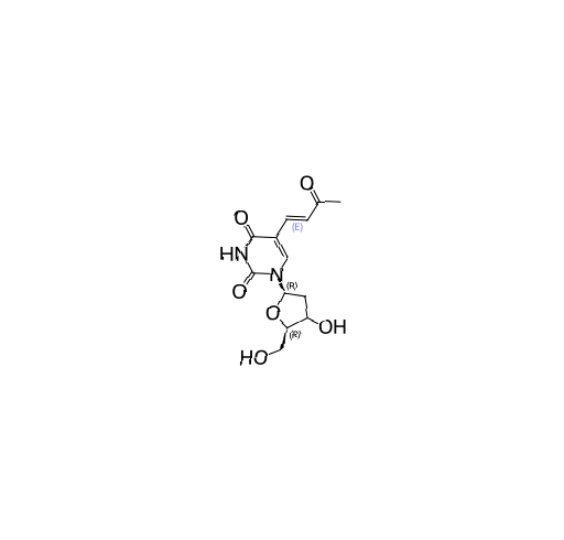 CC(=O)/C=C/c1cn([C@H]2CC(O)[C@@H](CO)O2)c(=O)[nH]c1=O